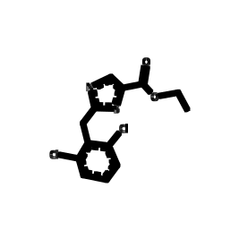 CCOC(=O)c1cnc(Cc2c(Cl)cccc2Cl)s1